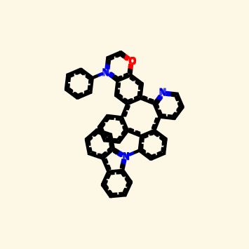 c1ccc(-n2ccoc3cc4c(cc32)c2ccccc2c2c(-n3c5ccccc5c5ccccc53)cccc2c2cccnc42)cc1